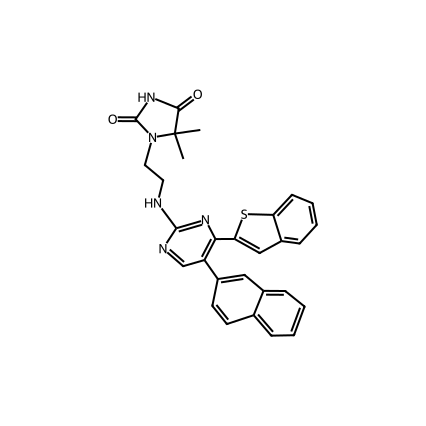 CC1(C)C(=O)NC(=O)N1CCNc1ncc(-c2ccc3ccccc3c2)c(-c2cc3ccccc3s2)n1